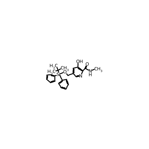 CNC(=O)c1ncc(CO[Si](c2ccccc2)(c2ccccc2)C(C)(C)C)cc1O